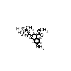 COC(=O)C1CN(C(=O)OC(C)(C)C)Cc2cc(N)ccc21